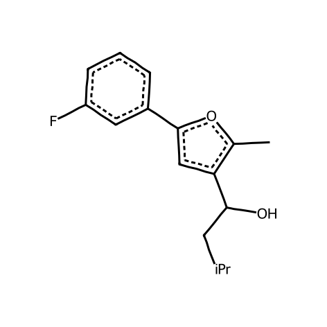 Cc1oc(-c2cccc(F)c2)cc1C(O)CC(C)C